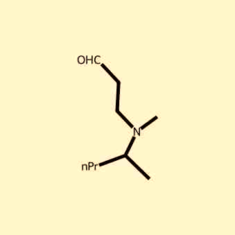 CCCC(C)N(C)CCC=O